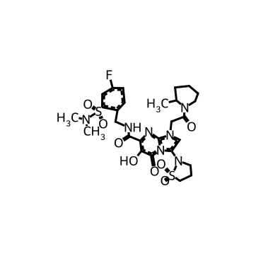 CC1CCCCN1C(=O)Cn1cc(N2CCCS2(=O)=O)n2c(=O)c(O)c(C(=O)NCc3ccc(F)cc3S(=O)(=O)N(C)C)nc12